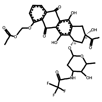 CC(=O)OCOc1cccc2c1C(=O)c1c(O)c3c(c(O)c1C2=O)C[C@@](O)(C(C)=O)C[C@@H]3OC1CC(NC(=O)C(F)(F)F)C(O)C(C)O1